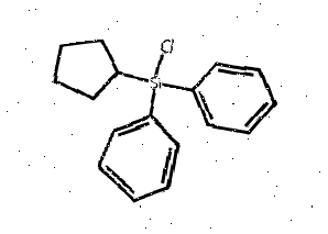 Cl[Si](c1ccccc1)(c1ccccc1)C1CCCC1